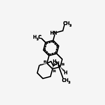 CCNc1cc2c(cc1C)[C@]13CCCC[C@@H]1[C@H](C2)N(C)CC3